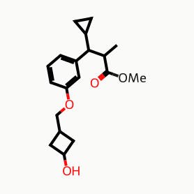 COC(=O)C(C)C(c1cccc(OCC2CC(O)C2)c1)C1CC1